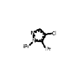 CC(C)c1c(Cl)cnn1C(C)C